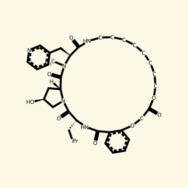 CC(C)C[C@H]1NC(=O)c2ccccc2OCC(=O)OCCCCCCCCNC(=O)[C@H](Cc2cccnc2)N(C)C(=O)[C@H]2C[C@H](O)CN2C1=O